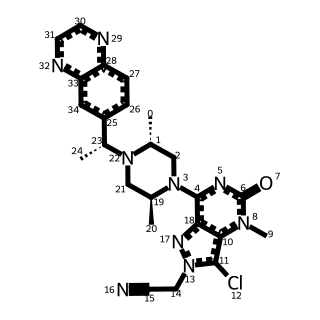 C[C@@H]1CN(c2nc(=O)n(C)c3c(Cl)n(CC#N)nc23)[C@@H](C)CN1[C@H](C)c1ccc2nccnc2c1